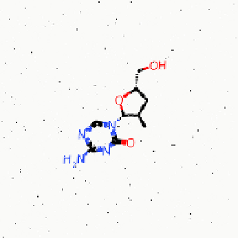 CC1C[C@@H](CO)O[C@H]1n1cnc(N)nc1=O